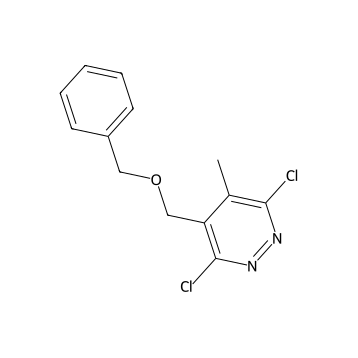 Cc1c(Cl)nnc(Cl)c1COCc1ccccc1